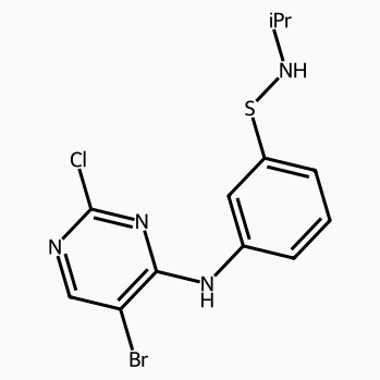 CC(C)NSc1cccc(Nc2nc(Cl)ncc2Br)c1